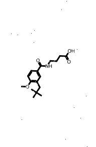 COc1ccc(C(=O)NCCCC(=O)O)cc1CC(C)(C)C